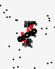 CC(C)(C)OOc1ccccc1C(=O)C1(C)C=CC(C)(C(=O)c2ccccc2OOC(C)(C)C)C=C1